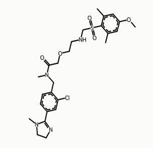 COc1cc(C)c(S(=O)(=O)CNCCOCC(=O)N(C)Cc2ccc(C3=NCCN3C)cc2Cl)c(C)c1